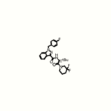 CC(C)(C)[C@H](NC(=O)c1nn(Cc2ccc(F)cc2)c2ccccc12)C(=O)N1CCCC(F)(F)C1